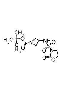 CC(C)(C)OC(=O)N1CC(NS(=O)(=O)N2CCOC2=O)C1